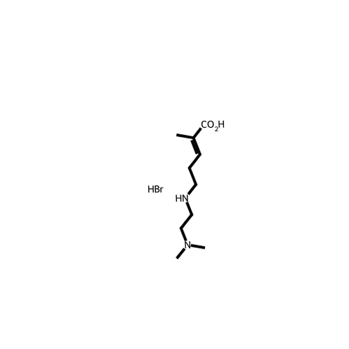 Br.CC(=CCCNCCN(C)C)C(=O)O